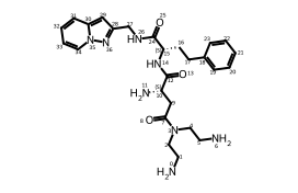 NCCN(CCN)C(=O)C[C@H](N)C(=O)N[C@@H](CCc1ccccc1)C(=O)NCc1cc2ccccn2n1